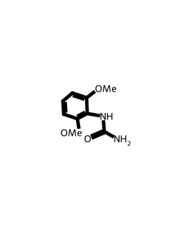 COc1cccc(OC)c1NC(N)=O